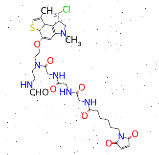 CC1=CSC2C(OCCN(CCNC=O)C(=O)CNC(=O)CNC(=O)CNC(=O)CCCCCN3C(=O)C=CC3=O)=CC3=C(C(CCl)CN3C)C12